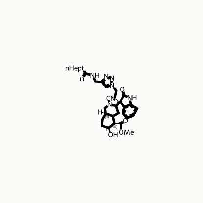 CCCCCCCC(=O)NCc1cn(CC[C@]2(C3CC4[C@@H](CC[C@H](O)[C@@H]4C(=O)OC)CN3C#N)C(=O)Nc3ccccc32)nn1